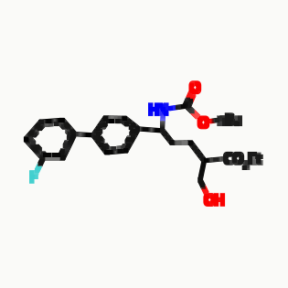 CCCCOC(=O)NC(CCC(CO)C(=O)OCC)c1ccc(-c2cccc(F)c2)cc1